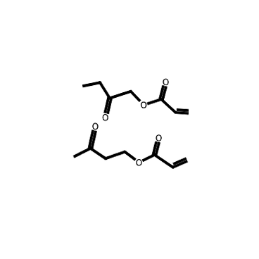 C=CC(=O)OCC(=O)CC.C=CC(=O)OCCC(C)=O